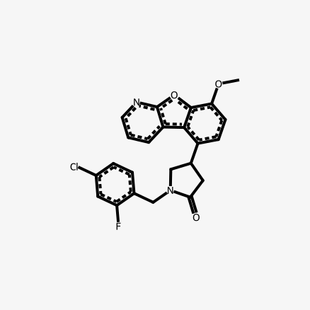 COc1ccc(C2CC(=O)N(Cc3ccc(Cl)cc3F)C2)c2c1oc1ncccc12